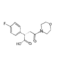 O=C(O)[C@@H](CC(=O)N1CCOCC1)c1ccc(F)cc1